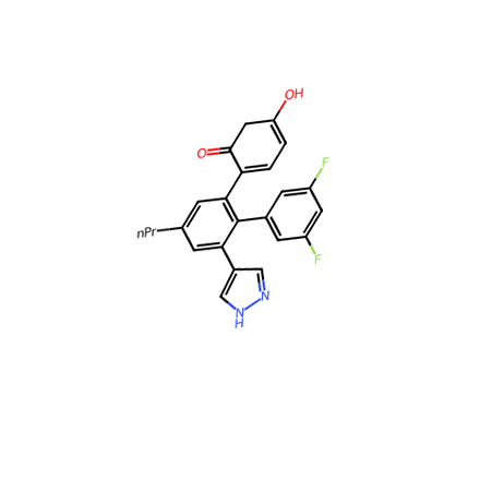 CCCc1cc(C2=CC=C(O)CC2=O)c(-c2cc(F)cc(F)c2)c(-c2cn[nH]c2)c1